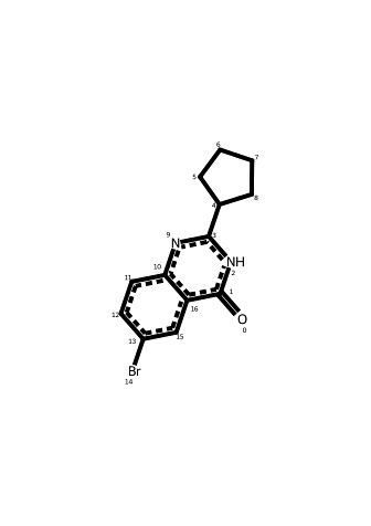 O=c1[nH]c(C2CCCC2)nc2ccc(Br)cc12